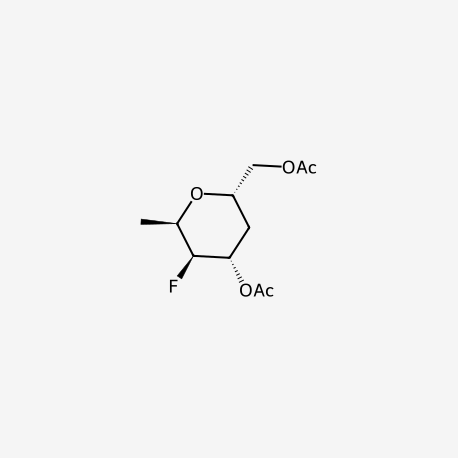 CC(=O)OC[C@@H]1C[C@H](OC(C)=O)[C@@H](F)[C@@H](C)O1